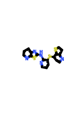 c1cnc(Nc2nc3cccnc3s2)c(Sc2ccnc3ccsc23)c1